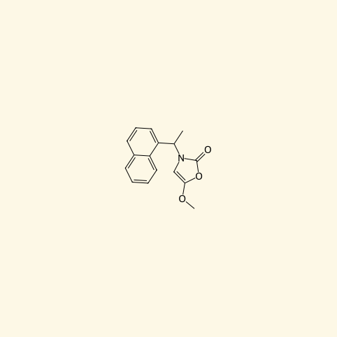 COc1cn(C(C)c2cccc3ccccc23)c(=O)o1